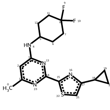 Cc1cc(NC2CCC(F)(F)CC2)nc(-c2nc(C3CC3)cs2)n1